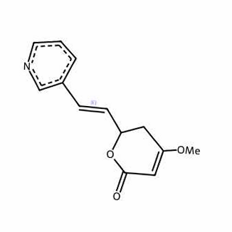 COC1=CC(=O)OC(/C=C/c2cccnc2)C1